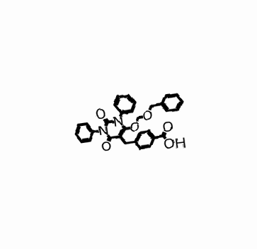 O=C(O)c1ccc(Cc2c(OCOCc3ccccc3)n(-c3ccccc3)c(=O)n(-c3ccccc3)c2=O)cc1